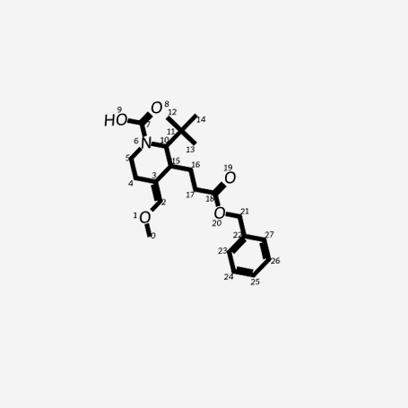 COC=C1CCN(C(=O)O)C(C(C)(C)C)C1CCC(=O)OCc1ccccc1